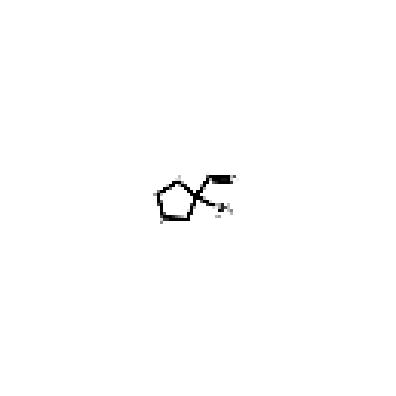 NC1([C]=O)CCCC1